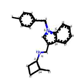 Cc1ccc(Cn2cc(CNC3CCC3C)c3ccccc32)cc1